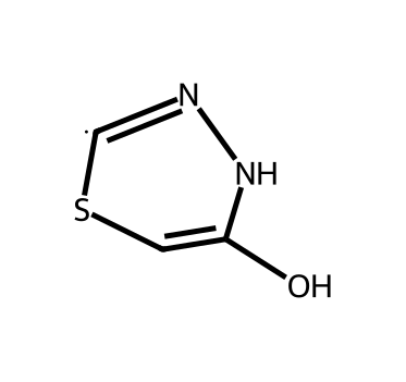 OC1=CS[C]=NN1